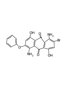 Nc1c(Br)cc(O)c2c1C(=O)c1c(O)cc(Oc3ccccc3)c(N)c1C2=O